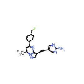 Nc1ncc(C#Cc2cnn3c(C(F)(F)F)cc(-c4ccc(CF)cc4)nc23)cn1